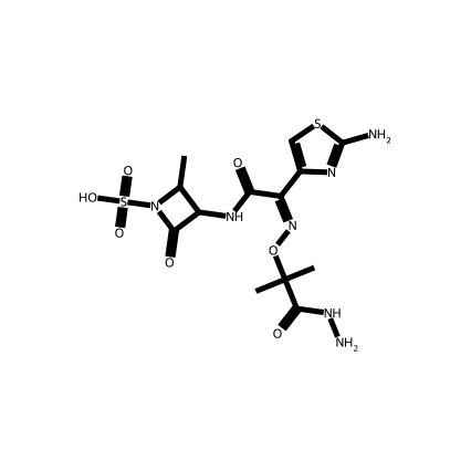 CC1C(NC(=O)C(=NOC(C)(C)C(=O)NN)c2csc(N)n2)C(=O)N1S(=O)(=O)O